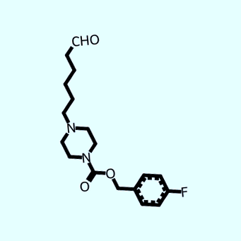 O=CCCCCCN1CCN(C(=O)OCc2ccc(F)cc2)CC1